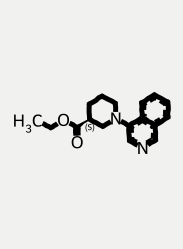 CCOC(=O)[C@H]1CCCN(c2cncc3ccccc23)C1